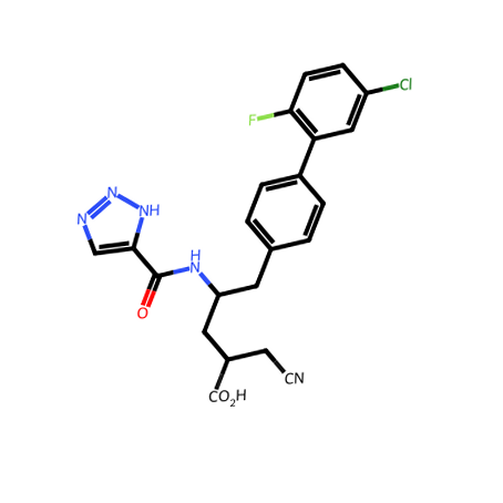 N#CCC(CC(Cc1ccc(-c2cc(Cl)ccc2F)cc1)NC(=O)c1cnn[nH]1)C(=O)O